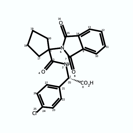 O=C(O)[C@@H](NC(=O)C1(N2C(=O)c3ccccc3C2=O)CCCC1)c1ccc(Cl)cc1